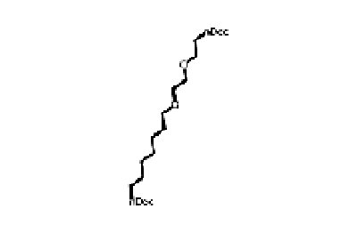 CCCCCCCCCCCCCCCCCOCCOCCCCCCCCCCCC